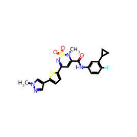 CN1C(C(=O)Nc2ccc(F)c(C3CC3)c2)=CC(c2ccc(-c3cnn(C)c3)s2)=NS1(=O)=O